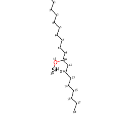 CCCCCCCCCCC(CCCCCCCC)O[SiH3]